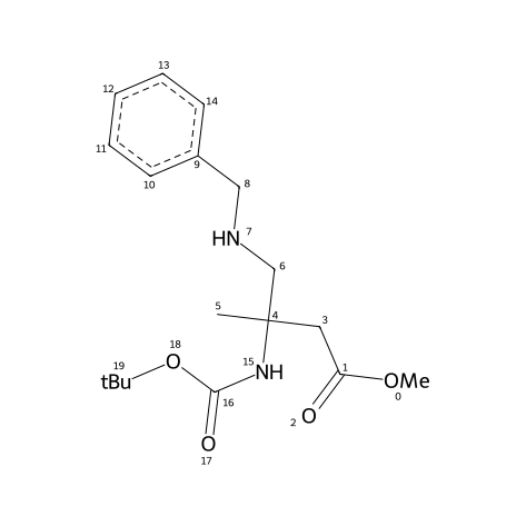 COC(=O)CC(C)(CNCc1ccccc1)NC(=O)OC(C)(C)C